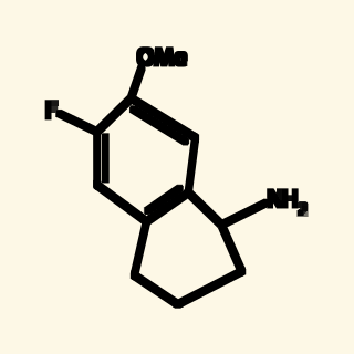 COc1cc2c(cc1F)CCCC2N